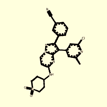 Cc1cc(-c2c(-c3cccc(C#N)c3)nn3ccc(NC4CCS(=O)(=O)CC4)nc23)cc(Cl)n1